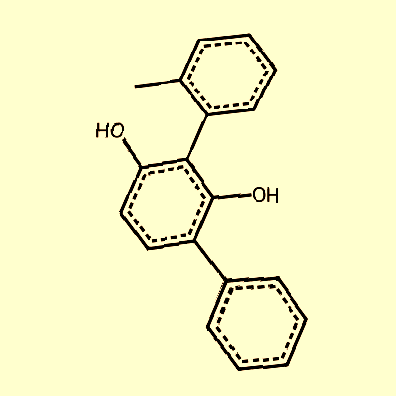 Cc1ccccc1-c1c(O)ccc(-c2ccccc2)c1O